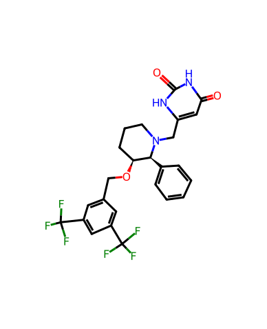 O=c1cc(CN2CCC[C@H](OCc3cc(C(F)(F)F)cc(C(F)(F)F)c3)[C@@H]2c2ccccc2)[nH]c(=O)[nH]1